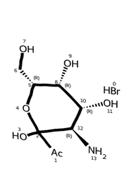 Br.CC(=O)C1(O)O[C@H](CO)[C@H](O)[C@H](O)[C@H]1N